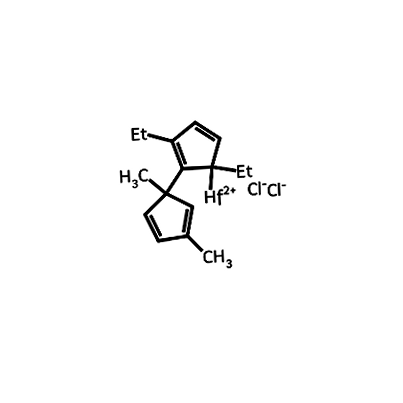 CCC1=C(C2(C)C=CC(C)=C2)[C]([Hf+2])(CC)C=C1.[Cl-].[Cl-]